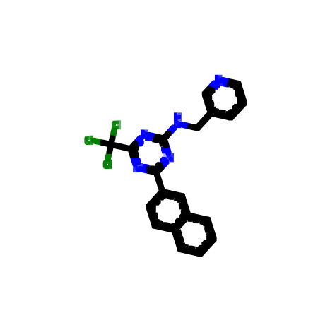 ClC(Cl)(Cl)c1nc(NCc2cccnc2)nc(-c2ccc3ccccc3c2)n1